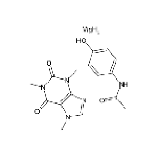 CC(=O)Nc1ccc(O)cc1.Cn1c(=O)c2c(ncn2C)n(C)c1=O.[MgH2]